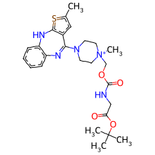 Cc1cc2c(s1)Nc1ccccc1N=C2N1CC[N+](C)(COC(=O)NCC(=O)OC(C)(C)C)CC1